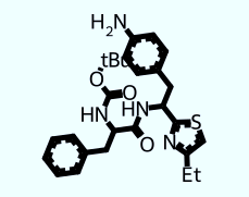 CCc1csc(C(Cc2ccc(N)cc2)NC(=O)C(Cc2ccccc2)NC(=O)OC(C)(C)C)n1